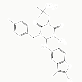 CCc1oc2ccc(NC3N(N)C(=O)N(CC(C)(C)C(=O)O)C(=O)N3Cc3ccc(C)cc3)cc2c1C